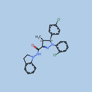 C[C@@H]1C(C(=O)NN2CCc3ccccc32)=NN(c2ccccc2Cl)[C@@H]1c1ccc(Cl)cc1